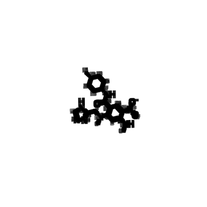 CNc1cc(N(C)Cc2nnc[nH]2)c(C(=O)N[C@H]2CC[C@H](C)CC2)cc1[N+](=O)[O-]